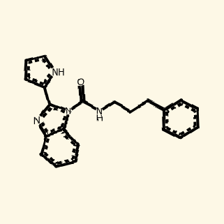 O=C(NCCCc1ccccc1)n1c(-c2ccc[nH]2)nc2ccccc21